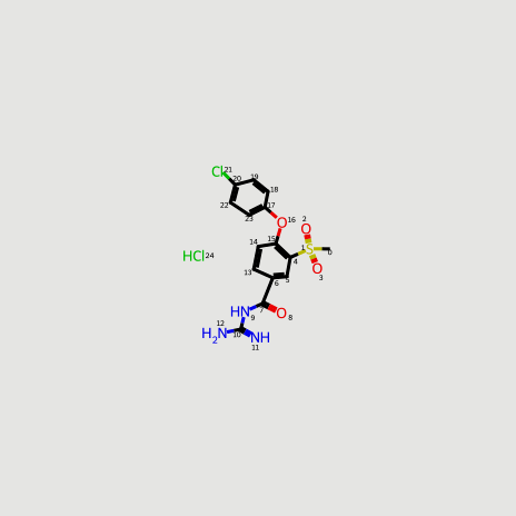 CS(=O)(=O)c1cc(C(=O)NC(=N)N)ccc1Oc1ccc(Cl)cc1.Cl